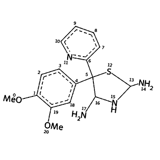 COc1ccc(C2(c3ccccn3)SC(N)NC2N)cc1OC